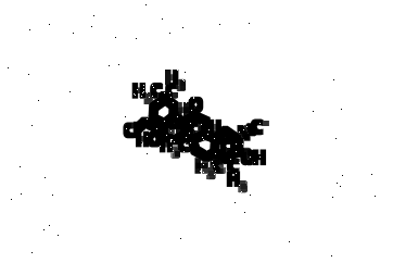 [C-]#[N+]C1=C(O)C(C)(C)[C@@H]2CC[C@]3(C)[C@H](CC(=O)[C@@H]4[C@@H]5CC(C)(C)CC[C@]5(C(O)CCl)CC[C@]43C)[C@@]2(C)C1